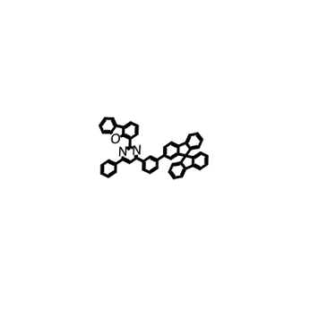 c1ccc(-c2cc(-c3cccc(-c4ccc5c(c4)C4(c6ccccc6-c6ccccc64)c4ccccc4-5)c3)nc(-c3cccc4c3oc3ccccc34)n2)cc1